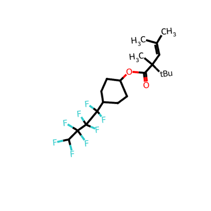 CC(C)=CC(C)(C(=O)OC1CCC(C(F)(F)C(F)(F)C(F)(F)C(F)F)CC1)C(C)(C)C